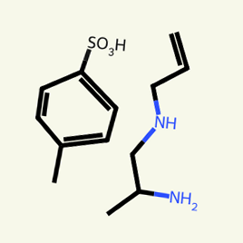 C=CCNCC(C)N.Cc1ccc(S(=O)(=O)O)cc1